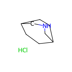 C1CC2CCC1CNC2.Cl